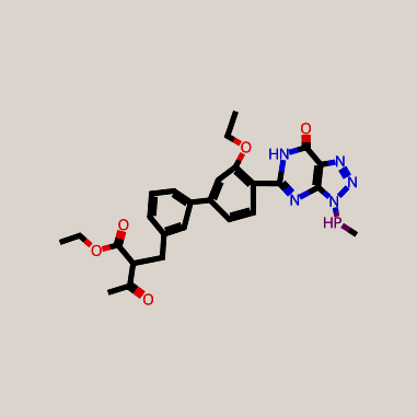 CCOC(=O)C(Cc1cccc(-c2ccc(-c3nc4c(nnn4PC)c(=O)[nH]3)c(OCC)c2)c1)C(C)=O